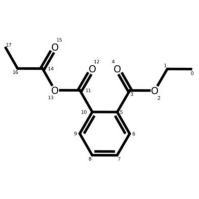 CCOC(=O)c1ccccc1C(=O)OC(=O)CC